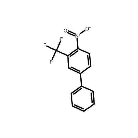 O=[N+]([O-])c1ccc(-c2ccccc2)cc1C(F)(F)F